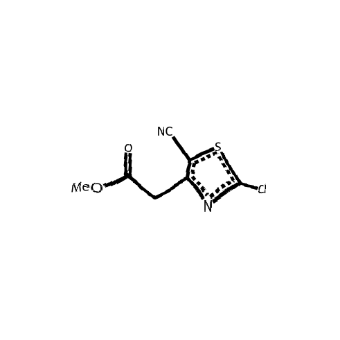 COC(=O)Cc1nc(Cl)sc1C#N